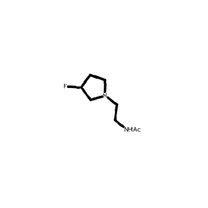 CC(=O)NCCN1CCC(F)C1